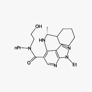 CCCN(CCO)C(=O)c1cnc2c(cnn2CC)c1N[C@H](C)C1CCCCC1